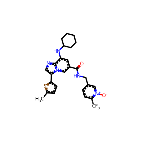 Cc1ccc(-c2cnc3c(NC4CCCCC4)cc(C(=O)NCc4ccc(C(F)(F)F)[n+]([O-])c4)cn23)s1